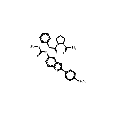 CC(=O)Nc1ccc(-c2cc3cc(N(C(=O)OC(C)(C)C)[C@@H](C(=O)N4CCC[C@H]4C(N)=O)c4ccccc4)ccc3o2)cc1